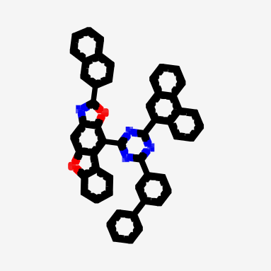 c1ccc(-c2cccc(-c3nc(-c4cc5ccccc5c5ccccc45)nc(-c4c5oc(-c6ccc7ccccc7c6)nc5cc5oc6ccccc6c45)n3)c2)cc1